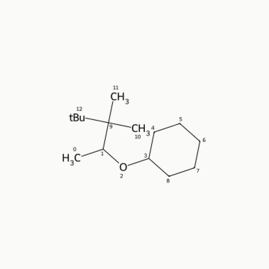 CC(OC1CCCCC1)C(C)(C)C(C)(C)C